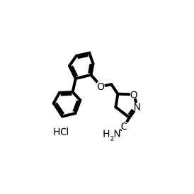 Cl.NCC1=NOC(COc2ccccc2-c2ccccc2)C1